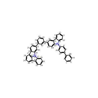 c1ccc(-c2ccc(-n3c4ccccc4c4cc(-c5cccc(-c6ccc7c8cccc9c%10ccccc%10n(c7c6)c98)c5)ccc43)cc2)cc1